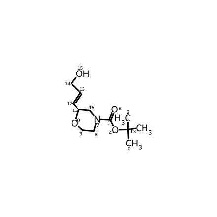 CC(C)(C)OC(=O)N1CCO[C@@H](C=CCO)C1